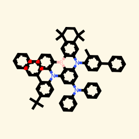 Cc1cc(-c2ccccc2)ccc1N1c2cc3c(cc2B2c4ccc(-c5ccccc5)cc4N(c4ccc(C(C)(C)C)cc4-c4ccccc4)c4cc(N(c5ccccc5)c5ccccc5)cc1c42)C(C)(C)CCC3(C)C